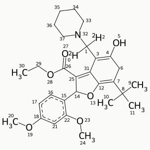 [2H]C([2H])(C1=C(O)CC(C(C)(C)C)=C2OC(c3ccc(OC)cc3OC)C(C(=O)OCC)=C21)N1CCCCC1